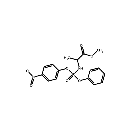 COC(=O)C(C)NP(=O)(Oc1ccccc1)Oc1ccc([N+](=O)[O-])cc1